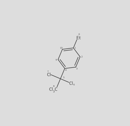 [CH2]Cc1ccc(C(Cl)(Cl)C(Cl)(Cl)Cl)cc1